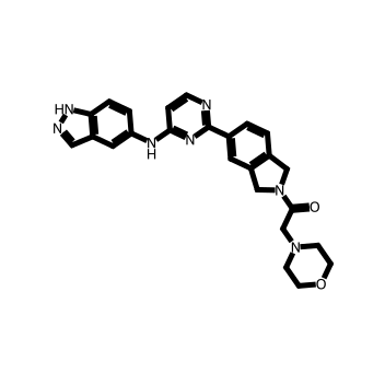 O=C(CN1CCOCC1)N1Cc2ccc(-c3nccc(Nc4ccc5[nH]ncc5c4)n3)cc2C1